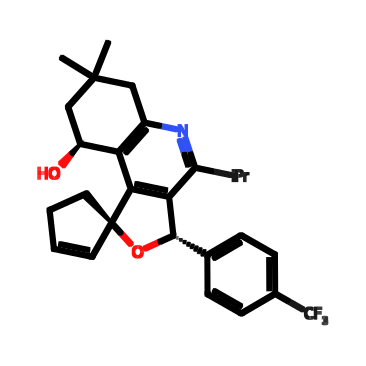 CC(C)c1nc2c(c3c1[C@H](c1ccc(C(F)(F)F)cc1)O[C@]31C=CCC1)[C@@H](O)CC(C)(C)C2